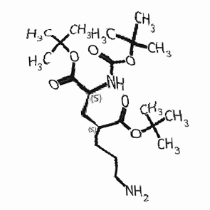 CC(C)(C)OC(=O)N[C@@H](C[C@H](CCCN)C(=O)OC(C)(C)C)C(=O)OC(C)(C)C